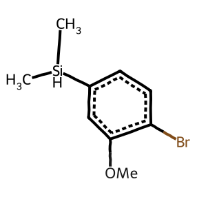 COc1cc([SiH](C)C)ccc1Br